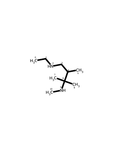 CCNCC(C)C(C)(C)NC